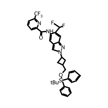 CC(C)(C)[Si](OCC1CC(n2cc3cc(NC(=O)c4cccc(C(F)(F)F)n4)c(C(F)F)cc3n2)C1)(c1ccccc1)c1ccccc1